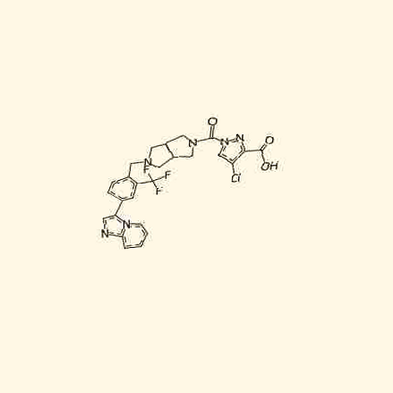 O=C(O)c1nn(C(=O)N2CC3CN(Cc4ccc(-c5cnc6ccccn56)cc4C(F)(F)F)CC3C2)cc1Cl